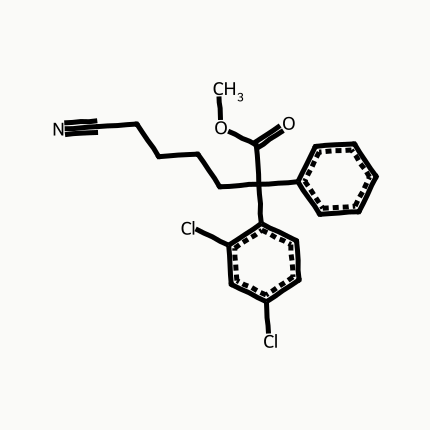 COC(=O)C(CCCCC#N)(c1ccccc1)c1ccc(Cl)cc1Cl